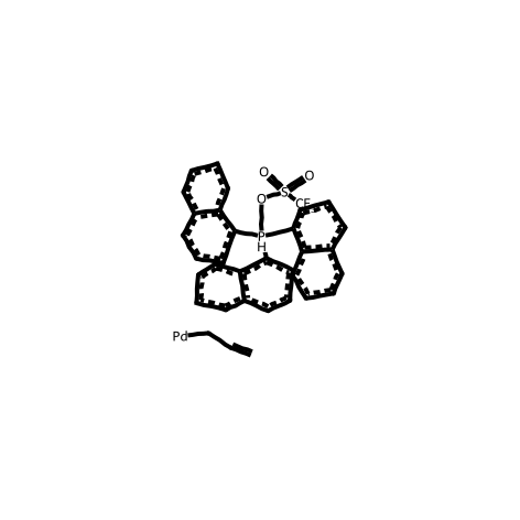 C=C[CH2][Pd].O=S(=O)(O[PH](c1cccc2ccccc12)(c1cccc2ccccc12)c1cccc2ccccc12)C(F)(F)F